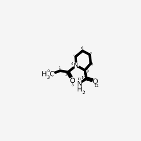 CCC(=O)N1CCC[CH]C1C(N)=O